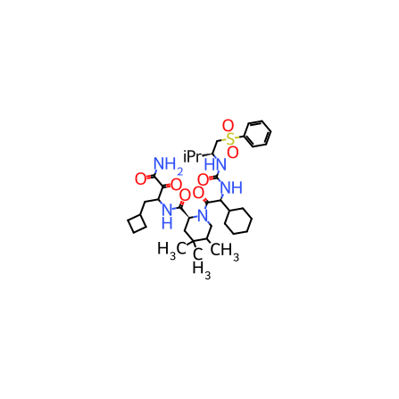 CC(C)[C@@H](CS(=O)(=O)c1ccccc1)NC(=O)N[C@H](C(=O)N1CC(C)C(C)(C)C[C@H]1C(=O)NC(CC1CCC1)C(=O)C(N)=O)C1CCCCC1